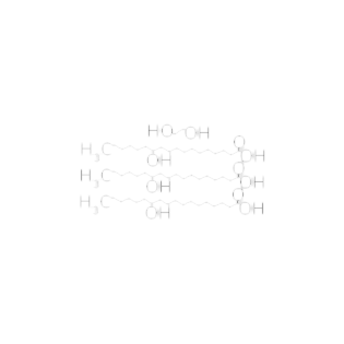 CCCCCCC(O)CCCCCCCCCCC(=O)O.CCCCCCC(O)CCCCCCCCCCC(=O)O.CCCCCCC(O)CCCCCCCCCCC(=O)O.OCCO